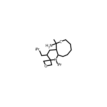 CC(C)CC1CC2C(CCCCCCC2(C)N)N(C(C)C)C12COC2